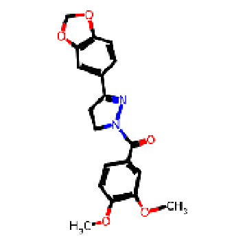 COc1ccc(C(=O)N2CCC(c3ccc4c(c3)OCO4)=N2)cc1OC